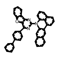 c1ccc(-c2ccc(-c3nc(N4c5cc6ccccc6cc5-c5cccc6cccc4c56)nc4c3oc3ccccc34)cc2)cc1